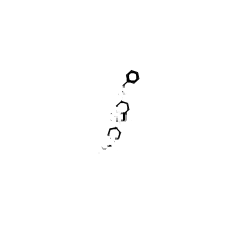 CC(C)(C)OC(=O)N1CCC(N2C(=O)[C@@H]3CC[C@@H](NOCc4ccccc4)CN3[Si]2(C)C)CC1